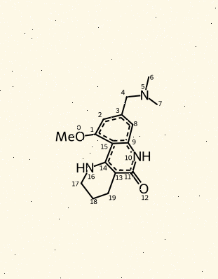 COc1cc(CN(C)C)cc2[nH]c(=O)c3c(c12)NCCC3